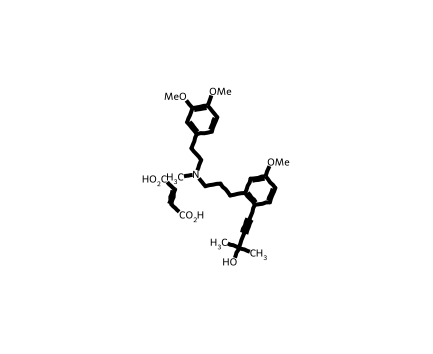 COc1ccc(C#CC(C)(C)O)c(CCCN(C)CCc2ccc(OC)c(OC)c2)c1.O=C(O)C=CC(=O)O